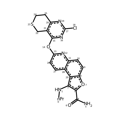 CCCNc1c(C(N)=O)oc2ccc3nc(Oc4nc(Cl)nc5c4CSCC5)ccc3c12